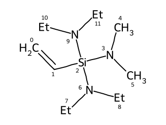 C=C[Si](N(C)C)(N(CC)CC)N(CC)CC